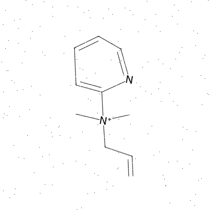 C=CC[N+](C)(C)c1ccccn1